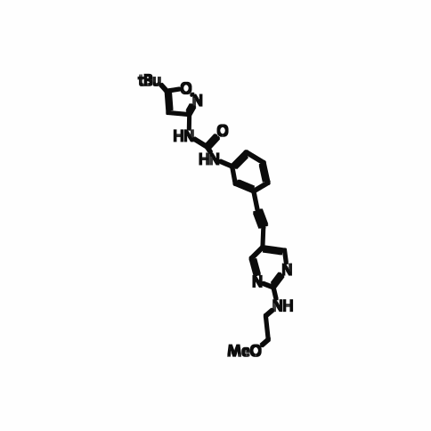 COCCNc1ncc(C#Cc2cccc(NC(=O)Nc3cc(C(C)(C)C)on3)c2)cn1